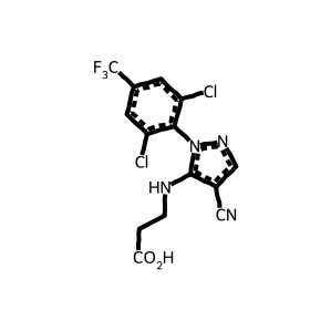 N#Cc1cnn(-c2c(Cl)cc(C(F)(F)F)cc2Cl)c1NCCC(=O)O